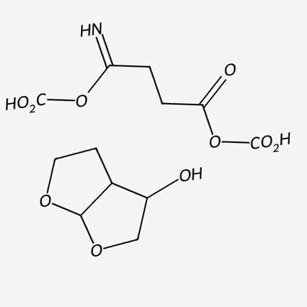 N=C(CCC(=O)OC(=O)O)OC(=O)O.OC1COC2OCCC12